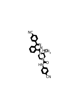 C[C@H]1CN(C(=O)Nc2ccc(C#N)cc2)CCN1c1nnc(-c2ccc(C#N)cc2)c2ccccc12.Cl